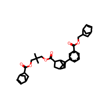 CC(C)(COC(=O)C1CC2C=CC1C2)COC(=O)C1CC2C=C(c3cccc(C(=O)OCC4CC5C=CC4C5)c3)C1C2